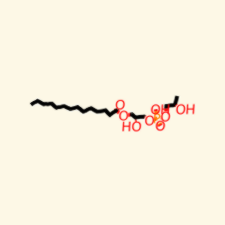 CCCCCCCCCCCCCC(=O)OC[C@@H](O)COP(=O)(O)OCC(C)O